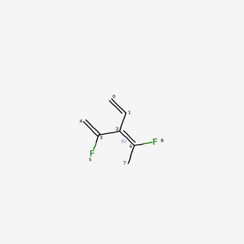 C=C/C(C(=C)F)=C(/C)F